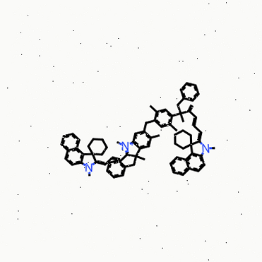 C=C(/C=C/C=C1/N(C)c2ccc3ccccc3c2C12CCCCC2)C(C)(Cc1ccccc1)c1cc(C)c(Cc2cc3c(cc2C)C(C)(Cc2ccccc2)C(/C=C/C=C2/N(C)c4ccc5ccccc5c4C24CCCCC4)=[N+]3C)cc1C